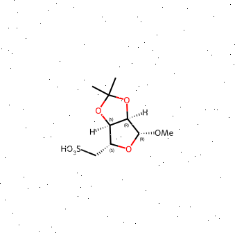 CO[C@@H]1O[C@H](CS(=O)(=O)O)[C@H]2OC(C)(C)O[C@@H]12